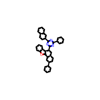 c1ccc(-c2ccc3cc(-c4nc(-c5ccccc5)nc(-c5ccc6ccccc6c5)n4)c4c5ccccc5oc4c3c2)cc1